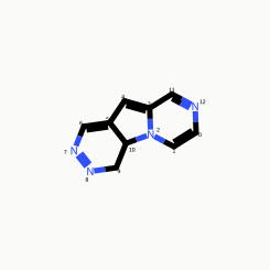 C1=CN2C(=CC3=CN=NCC32)C=N1